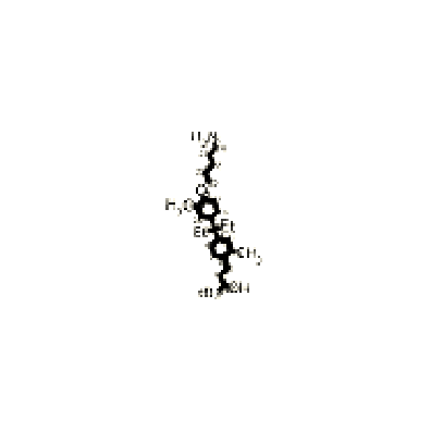 CCC(CC)(c1ccc(CCC(O)C(C)(C)C)c(C)c1)c1ccc(OCCCCCN)c(C)c1